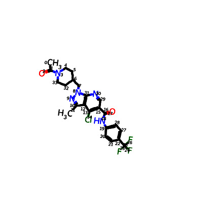 CC(=O)N1CCC(Cn2nc(C)c3c(Cl)c(C(=O)Nc4ccc(C(F)(F)F)cc4)cnc32)CC1